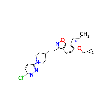 C/C=C/c1c(OCC2CC2)ccc2c(CCC3CCN(c4ccc(Cl)nn4)CC3)noc12